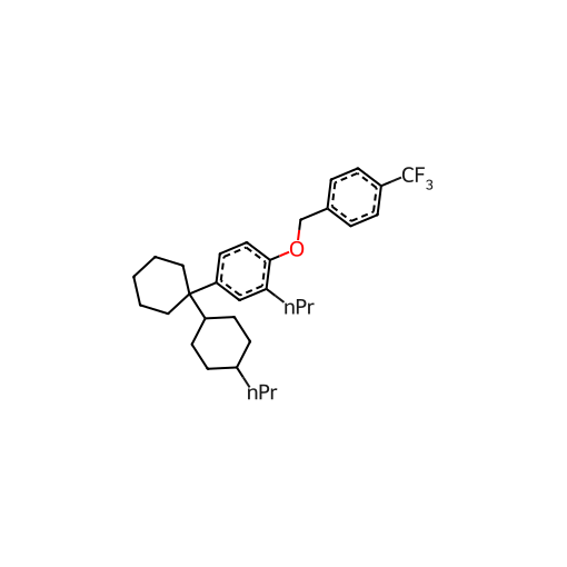 CCCc1cc(C2(C3CCC(CCC)CC3)CCCCC2)ccc1OCc1ccc(C(F)(F)F)cc1